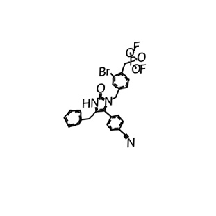 N#Cc1ccc(-c2c(Cc3ccccc3)[nH]c(=O)n2Cc2ccc(CP(=O)(OF)OF)c(Br)c2)cc1